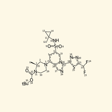 C[C@H]1CN(c2cc(S(=O)(=O)NC3(C)CC3)cn3c(-c4nnc(C(F)F)s4)ncc23)CCN1C(=O)OC(C)(C)C